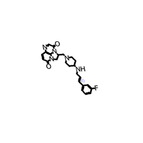 O=c1ccc2ncc(=O)n3c2n1CC3CN1CCC(NC/C=C/c2cccc(F)c2)CC1